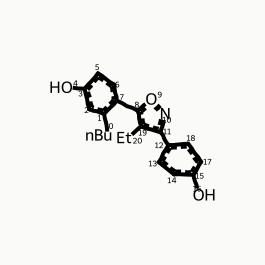 CCCCc1cc(O)ccc1-c1onc(-c2ccc(O)cc2)c1CC